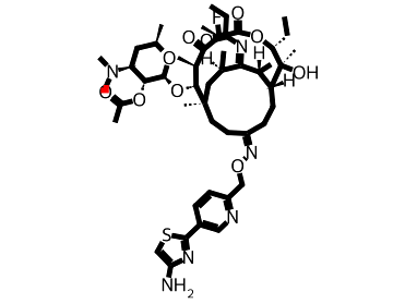 CCC(=O)/N=C1\[C@H](C)C[C@@]2(C)CCC(=NOCc3ccc(-c4nc(N)cs4)cn3)CC[C@H]([C@H]1C)[C@](C)(O)[C@@H](CC)OC(=O)[C@@](C)(F)C(=O)[C@H](C)[C@H]2O[C@@H]1O[C@H](C)C[C@H](N(C)C)[C@H]1OC(C)=O